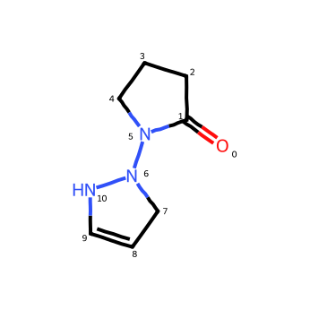 O=C1CCCN1N1CC=CN1